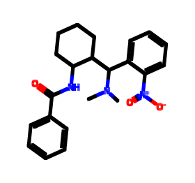 CN(C)C(c1ccccc1[N+](=O)[O-])C1CCCCC1NC(=O)c1ccccc1